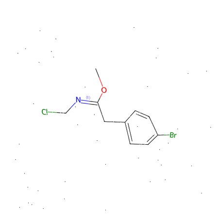 CO/C(Cc1ccc(Br)cc1)=N/CCl